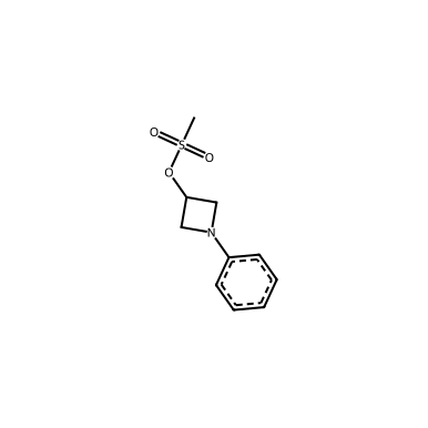 CS(=O)(=O)OC1CN(c2ccccc2)C1